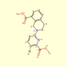 COC(=O)c1cccc2c1CN(c1ccc(Br)c(C(=O)OC)n1)CC2